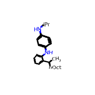 CCCCCCCCC(C)c1ccccc1Nc1ccc(NC(C)C)cc1